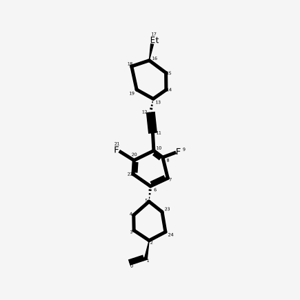 C=C[C@H]1CC[C@H](c2cc(F)c(C#C[C@H]3CC[C@H](CC)CC3)c(F)c2)CC1